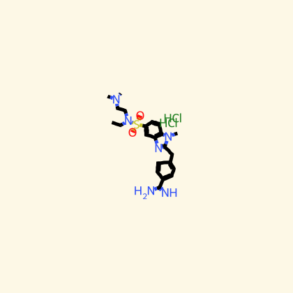 CCN(CCN(C)C)S(=O)(=O)c1ccc2c(c1)nc(Cc1ccc(C(=N)N)cc1)n2C.Cl.Cl